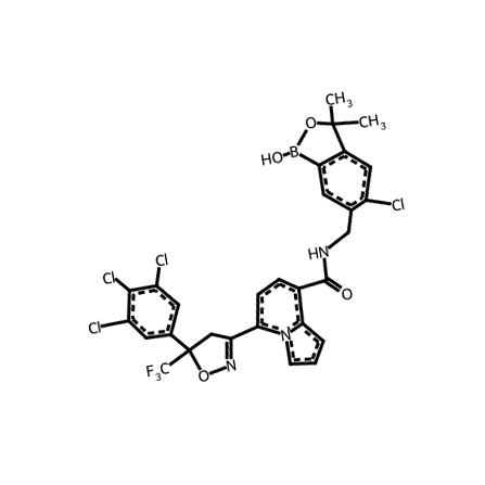 CC1(C)OB(O)c2cc(CNC(=O)c3ccc(C4=NOC(c5cc(Cl)c(Cl)c(Cl)c5)(C(F)(F)F)C4)n4cccc34)c(Cl)cc21